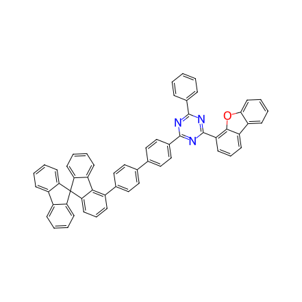 c1ccc(-c2nc(-c3ccc(-c4ccc(-c5cccc6c5-c5ccccc5C65c6ccccc6-c6ccccc65)cc4)cc3)nc(-c3cccc4c3oc3ccccc34)n2)cc1